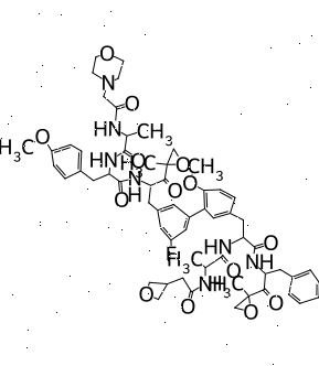 COc1ccc(CC(NC(=O)C(C)NC(=O)CN2CCOCC2)C(=O)NC(Cc2cc(F)cc(-c3cc(CC(NC(=O)C(C)NC(=O)CC4COC4)C(=O)NC(Cc4ccccc4)C(=O)C4(C)CO4)ccc3OC)c2)C(=O)C2(C)CO2)cc1